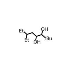 CCC(CC)CC(O)C(O)C(C)CC